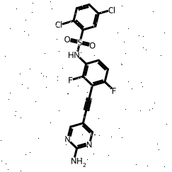 Nc1ncc(C#Cc2c(F)ccc(NS(=O)(=O)c3cc(Cl)ccc3Cl)c2F)cn1